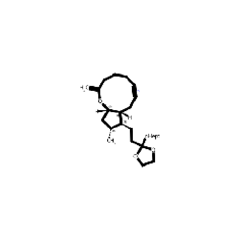 C=C1CCC/C=C\C[C@@H]2[C@@H](CCC3(CCCCCCC)OCCO3)[C@H](C)C[C@@H]2O1